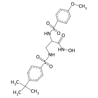 COc1ccc(S(=O)(=O)NC(CNS(=O)(=O)c2ccc(C(C)(C)C)cc2)C(=O)NO)cc1